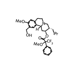 COc1cc2c(cc1CO)[C@H]1C[C@H](OC(=O)C(OC)(c3ccccc3)C(F)(F)F)[C@@H](CC(C)C)CN1CC2